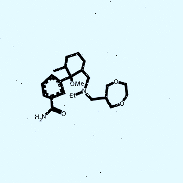 CCN(CC1COCCOC1)CC1CCCC(C)C1(OC)c1cccc(C(N)=O)c1